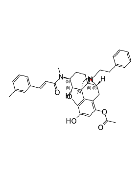 CC(=O)Oc1cc(O)c2c3c1C[C@@H]1[C@@H]4CC[C@H](N(C)C(=O)C=Cc5cccc(C)c5)[C@H](O2)[C@]34CCN1CCc1ccccc1